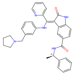 C[C@@H](NC(=O)c1ccc2c(c1)C(=C(Nc1cccc(CN3CCCC3)c1)c1ccccn1)C(=O)N2)c1ccccc1